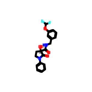 O=C(NCc1cccc(OC(F)F)c1)[C@@]1(O)CCN(c2ccccc2)C1=O